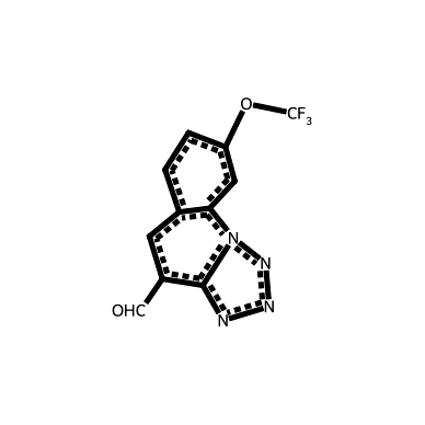 O=Cc1cc2ccc(OC(F)(F)F)cc2n2nnnc12